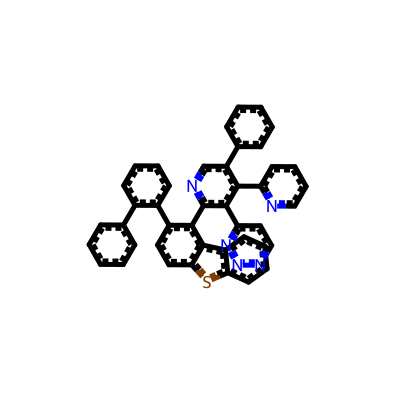 c1ccc(-c2ccccc2-c2ccc3sc4ccccc4c3c2-c2ncc(-c3ccccc3)c(-c3ccccn3)c2-c2ccnnn2)cc1